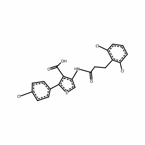 O=C(CCc1c(Cl)cccc1Cl)Nc1csc(-c2ccc(Cl)cc2)c1C(=O)O